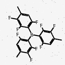 Cc1cc(F)c(B(c2c(F)cc(C)c(F)c2F)c2c(F)cc(C)c(F)c2F)c(F)c1F